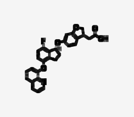 O=C(O)CC1COc2cc(O[C@@H]3CCc4c(Oc5cccc6cccnc56)ccc(F)c43)ccc21